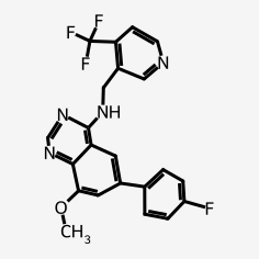 COc1cc(-c2ccc(F)cc2)cc2c(NCc3cnccc3C(F)(F)F)ncnc12